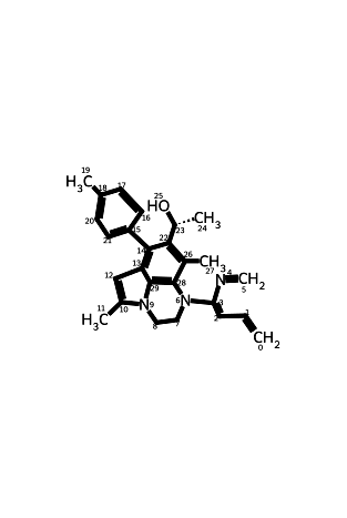 C=C/C=C(\N=C)N1CCn2c(C)cc3c(-c4ccc(C)cc4)c([C@@H](C)O)c(C)c1c32